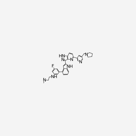 CN(C)CCNc1cc(F)cc(-c2cccc3[nH]c(-c4n[nH]c5ccc(-c6cncc(CN7CCCC7)c6)nc45)cc23)c1